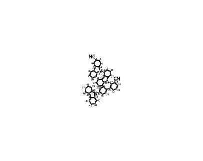 N#Cc1ccc2c(c1)c1ccccc1n2-c1cccc2c1c1ccccc1n2-c1c(C#N)cccc1-c1ccc(-n2c3ccccc3c3ccccc32)cc1